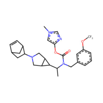 CC(C1C2CN(C3CC4C=CC3C4)CC21)N(Cc1cccc(OC(F)(F)F)c1)C(=O)Oc1cn(C)cn1